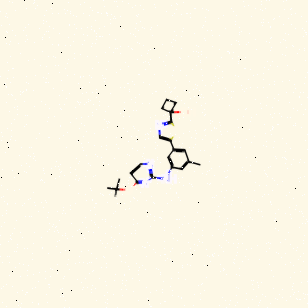 Cc1cc(Nc2nccc(OC(C)(C)C(=O)O)n2)cc(-c2cnc(C3(O)CCC3)s2)c1